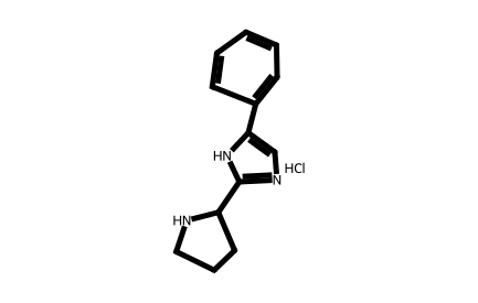 Cl.c1ccc(-c2cnc(C3CCCN3)[nH]2)cc1